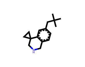 CC(C)(C)Cc1ccc2c(c1)C1(CC1)CNC2